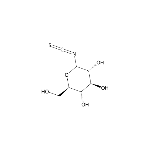 OC[C@H]1OC(N=C=S)[C@H](O)[C@@H](O)[C@@H]1O